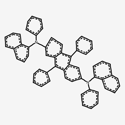 c1ccc(-c2c3ccc(N(c4ccccc4)c4cccc5ccccc45)cc3c(-c3ccccc3)c3ccc(N(c4ccccc4)c4cccc5ccccc45)cc23)cc1